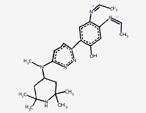 C/C=N\c1cc(O)c(-c2ccc(N(C)C3CC(C)(C)NC(C)(C)C3)nn2)cc1/N=C\C